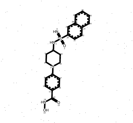 N=S(=O)(NC1CCN(c2ccc(C(=O)NO)cc2)CC1)c1ccc2ccccc2c1